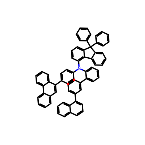 c1ccc(C2(c3ccccc3)c3ccccc3-c3c(N(c4ccc(-c5cc6ccccc6c6ccccc56)cc4)c4ccccc4-c4cccc(-c5cccc6ccccc56)c4)cccc32)cc1